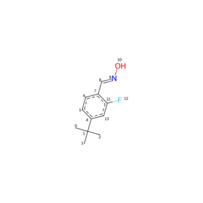 CC(C)(C)c1ccc(/C=N/O)c(F)c1